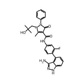 Cc1c(C(=O)Nc2ccc(-c3cccc4[nH]nc(N)c34)c(F)c2)c(=O)n(-c2ccccc2)n1CC(C)(C)O